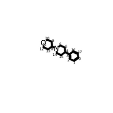 c1ccc(C2CCN(C3CCOCC3)CC2)cc1